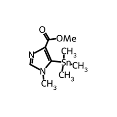 COC(=O)c1ncn(C)[c]1[Sn]([CH3])([CH3])[CH3]